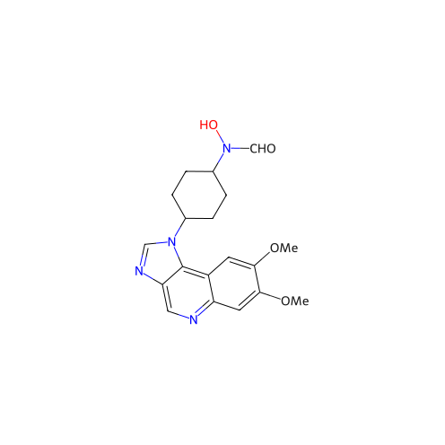 COc1cc2ncc3ncn(C4CCC(N(O)C=O)CC4)c3c2cc1OC